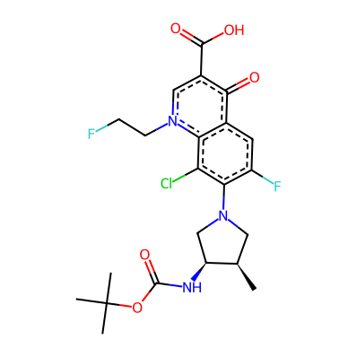 C[C@@H]1CN(c2c(F)cc3c(=O)c(C(=O)O)cn(CCF)c3c2Cl)C[C@@H]1NC(=O)OC(C)(C)C